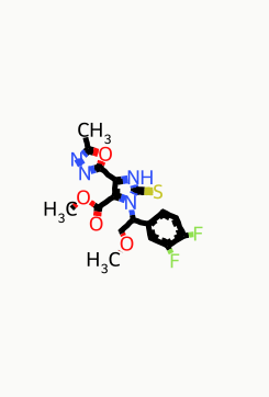 COCC(c1ccc(F)c(F)c1)n1c(C(=O)OC)c(-c2nnc(C)o2)[nH]c1=S